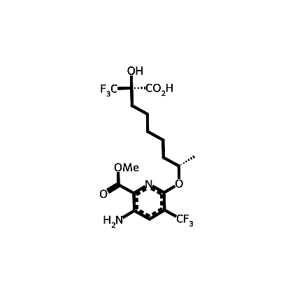 COC(=O)c1nc(O[C@@H](C)CCCCC[C@@](O)(C(=O)O)C(F)(F)F)c(C(F)(F)F)cc1N